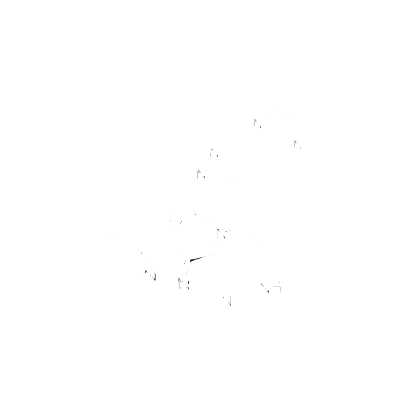 O=C(c1nnc(-c2cnccn2)o1)N1CCc2[nH]cnc2[C@H]1c1cc2c(Cl)cccn2n1